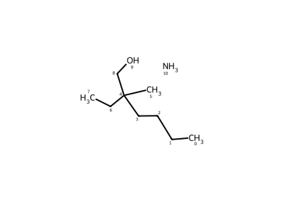 CCCCC(C)(CC)CO.N